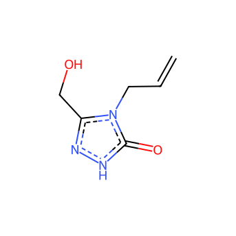 C=CCn1c(CO)n[nH]c1=O